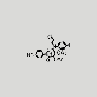 CC(=O)O[C@@H](C(=O)Nc1ccc(C#N)cc1)[C@@H](OC(C)=O)C(=O)N(CCCl)c1ccc(I)cc1